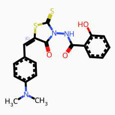 CN(C)c1ccc(/C=C2/SC(=S)N(NC(=O)c3ccccc3O)C2=O)cc1